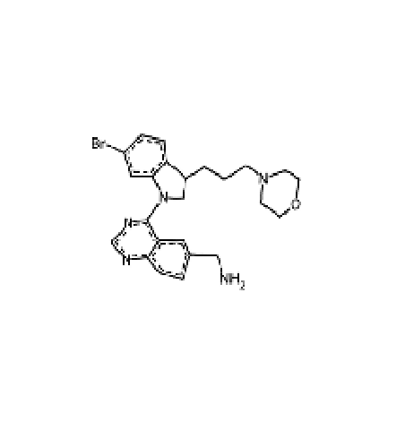 NCc1ccc2ncnc(N3CC(CCCN4CCOCC4)c4ccc(Br)cc43)c2c1